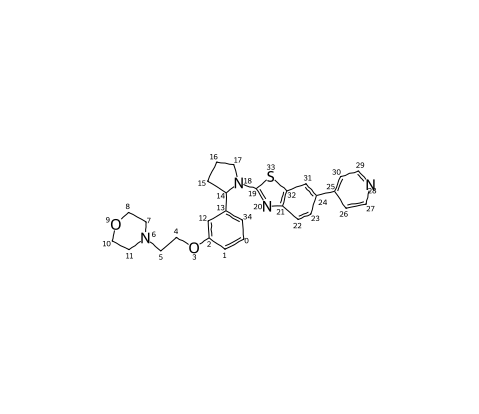 c1cc(OCCN2CCOCC2)cc(C2CCCN2c2nc3ccc(-c4ccncc4)cc3s2)c1